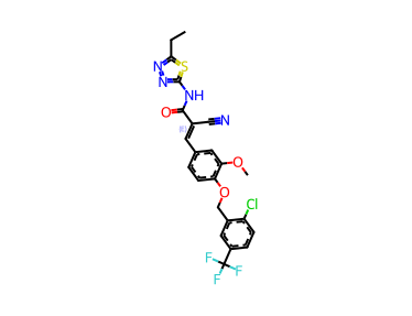 CCc1nnc(NC(=O)/C(C#N)=C/c2ccc(OCc3cc(C(F)(F)F)ccc3Cl)c(OC)c2)s1